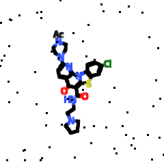 CC(=O)N1CCN(c2ccc3c(=O)c(C(=O)NCCN4CCCC4)c4sc5cc(Cl)ccc5n4c3n2)CC1